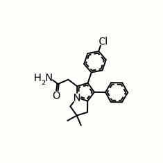 CC1(C)Cc2c(-c3ccccc3)c(-c3ccc(Cl)cc3)c(CC(N)=O)n2C1